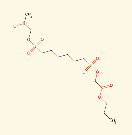 CCCOS(=O)COS(=O)(=O)CCCCCCS(=O)(=O)OC[S+](C)[O-]